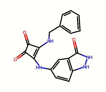 O=c1c(NCc2ccccc2)c(Nc2ccc3[nH][nH]c(=O)c3c2)c1=O